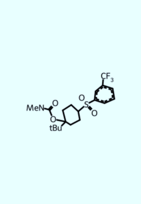 CNC(=O)OC1(C(C)(C)C)CCC(S(=O)(=O)c2cccc(C(F)(F)F)c2)CC1